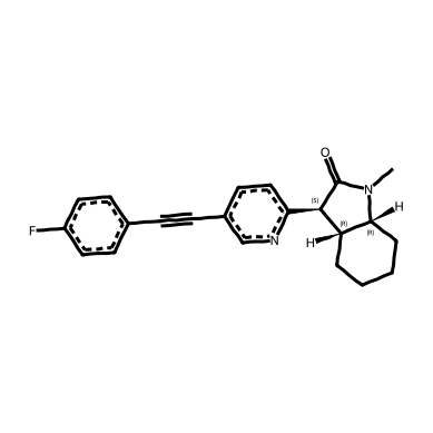 CN1C(=O)[C@H](c2ccc(C#Cc3ccc(F)cc3)cn2)[C@H]2CCCC[C@H]21